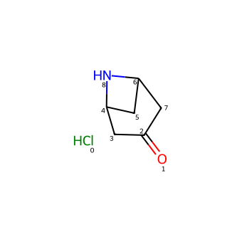 Cl.O=C1CC2CC(C1)N2